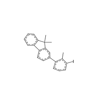 Cc1c(I)cccc1-c1ccc2c(c1)C(C)(C)c1ccccc1-2